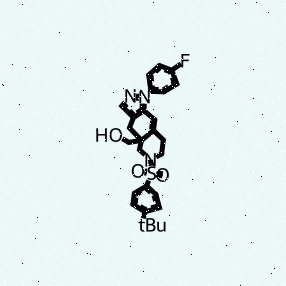 CC(C)(C)c1ccc(S(=O)(=O)N2CCC3=Cc4c(cnn4-c4ccc(F)cc4)CC3(CO)C2)cc1